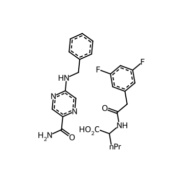 CCCC(NC(=O)Cc1cc(F)cc(F)c1)C(=O)O.NC(=O)c1cnc(NCc2ccccc2)cn1